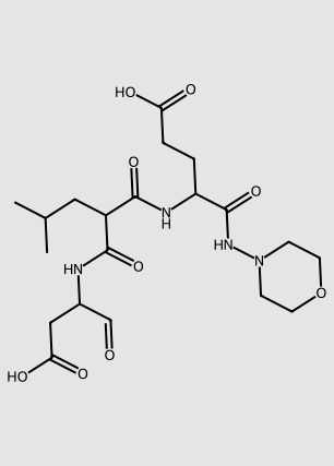 CC(C)CC(C(=O)NC(C=O)CC(=O)O)C(=O)NC(CCC(=O)O)C(=O)NN1CCOCC1